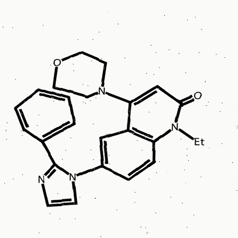 CCn1c(=O)cc(N2CCOCC2)c2cc(-n3ccnc3-c3ccccc3)ccc21